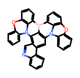 c1ccc2c(c1)Oc1cccc3c1N2c1cc2c(cnc4ccccc42)c2c1B3c1cccc3c1N2c1ccccc1O3